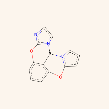 c1cc2c3c(c1)Oc1nccn1B3n1cccc1O2